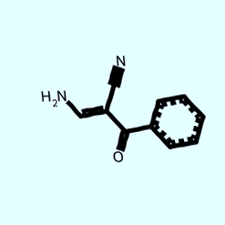 N#CC(=CN)C(=O)c1ccccc1